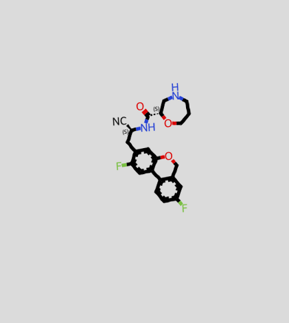 N#C[C@H](Cc1cc2c(cc1F)-c1ccc(F)cc1CO2)NC(=O)[C@@H]1CNCCCO1